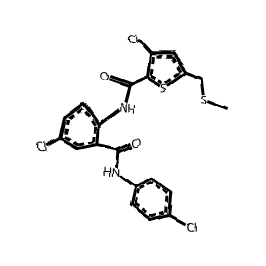 CSCc1cc(Cl)c(C(=O)Nc2ccc(Cl)cc2C(=O)Nc2ccc(Cl)cc2)s1